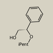 CCCC(C)O[C@H](CO)c1ccccc1